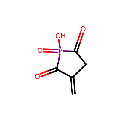 C=C1CC(=O)P(=O)(O)C1=O